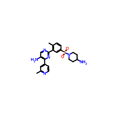 Cc1cc(-c2nc(-c3cc(S(=O)(=O)N4CCC(N)CC4)ccc3C)ncc2N)ccn1